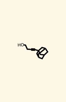 OCCC#CC12CC3CC(CC(C3)C1)C2